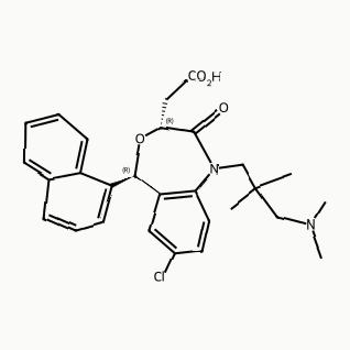 CN(C)CC(C)(C)CN1C(=O)[C@@H](CC(=O)O)O[C@H](c2cccc3ccccc23)c2cc(Cl)ccc21